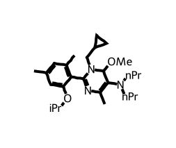 CCCN(CCC)C1=C(C)N=C(c2c(C)cc(C)cc2OC(C)C)N(CC2CC2)C1OC